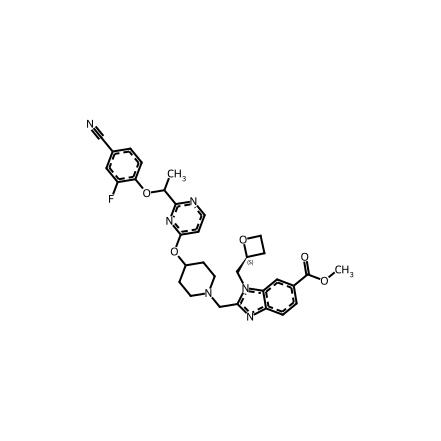 COC(=O)c1ccc2nc(CN3CCC(Oc4ccnc(C(C)Oc5ccc(C#N)cc5F)n4)CC3)n(C[C@@H]3CCO3)c2c1